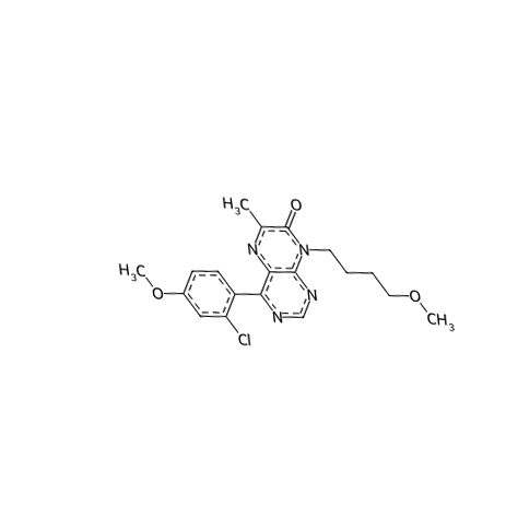 COCCCCn1c(=O)c(C)nc2c(-c3ccc(OC)cc3Cl)ncnc21